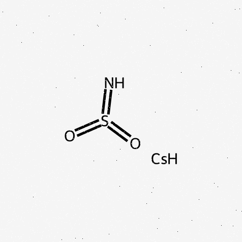 N=S(=O)=O.[CsH]